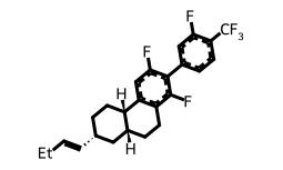 CC/C=C/[C@@H]1CC[C@@H]2c3cc(F)c(-c4ccc(C(F)(F)F)c(F)c4)c(F)c3CC[C@@H]2C1